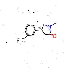 CN1C[C@H](c2cccc(C(F)(F)F)c2)CC1=O